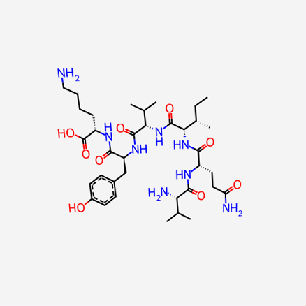 CC[C@H](C)[C@H](NC(=O)[C@H](CCC(N)=O)NC(=O)[C@@H](N)C(C)C)C(=O)N[C@H](C(=O)N[C@@H](Cc1ccc(O)cc1)C(=O)N[C@@H](CCCCN)C(=O)O)C(C)C